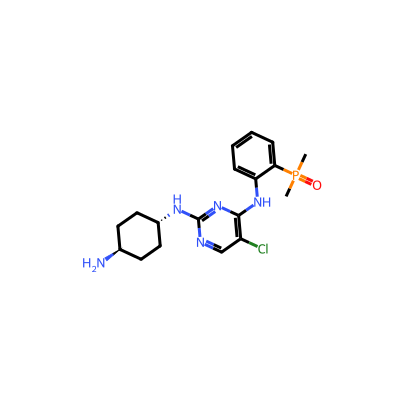 CP(C)(=O)c1ccccc1Nc1nc(N[C@H]2CC[C@H](N)CC2)ncc1Cl